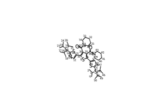 CC(C)[Si](c1ncc(-c2sc(-c3cnc([Si](C(C)C)(C(C)C)C(C)C)s3)c(C(=O)N3CCCCC3)c2C(=O)N2CCCCC2)s1)(C(C)C)C(C)C